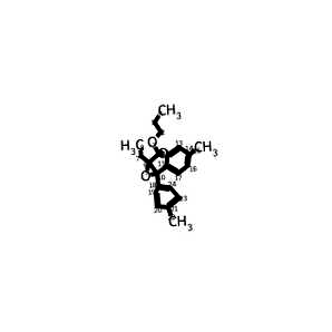 CCCOC(=O)C1(CC)OC1(c1ccc(C)cc1)c1ccc(C)cc1